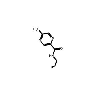 Cc1cnc(C(=O)NCC(C)C)cn1